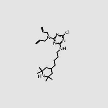 C=CCN(CC=C)c1nc(Cl)nc(NCCCCC2CC(C)(C)NC(C)(C)C2)n1